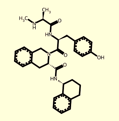 CN[C@@H](C)C(=O)N[C@@H](Cc1ccc(O)cc1)C(=O)N1Cc2ccccc2C[C@H]1C(=O)N[C@@H]1CCCc2ccccc21